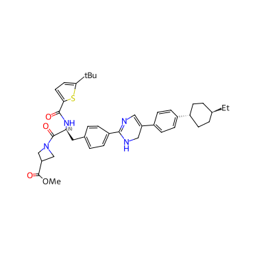 CC[C@H]1CC[C@H](c2ccc(C3=CN=C(c4ccc(C[C@H](NC(=O)c5ccc(C(C)(C)C)s5)C(=O)N5CC(C(=O)OC)C5)cc4)NC3)cc2)CC1